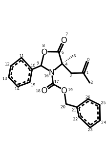 C=C(C)C[C@]1(C)C(=O)OC(c2ccccc2)N1C(=O)OCc1ccccc1